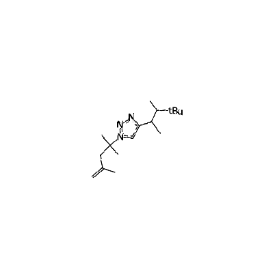 C=C(C)CC(C)(C)n1cc(C(C)C(C)C(C)(C)C)nn1